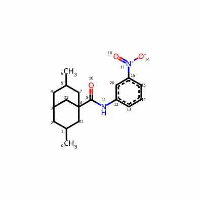 CC1CC2CC(C)CC(C(=O)Nc3cccc([N+](=O)[O-])c3)(C1)C2